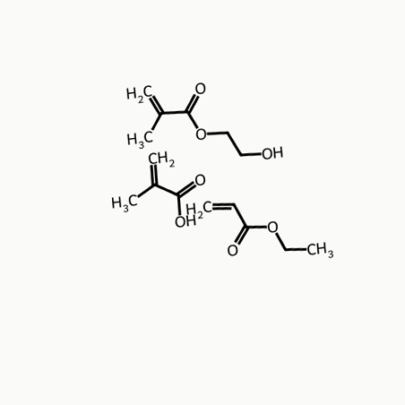 C=C(C)C(=O)O.C=C(C)C(=O)OCCO.C=CC(=O)OCC